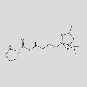 CC1O[Si]2(CCCNOC(=O)[C@@H]3CCCN3)OC1C(C)(C)O2